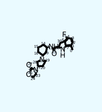 Cc1ccc(F)c2c1NC(C(=O)N[C@@H]1CCC[C@@H](N3CCC(N4CCOC4=O)C3)C1)C2